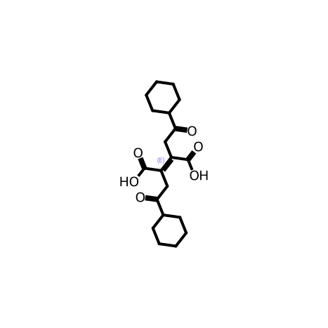 O=C(O)/C(CC(=O)C1CCCCC1)=C(\CC(=O)C1CCCCC1)C(=O)O